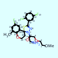 COCCOCC(=O)N1N=C(c2cc(F)ccc2F)S[C@@]12c1cc(F)cc(C)c1OC[C@H]2CCN